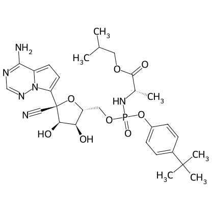 CC(C)COC(=O)[C@H](C)NP(=O)(OC[C@H]1O[C@@](C#N)(c2ccc3c(N)ncnn23)[C@H](O)[C@@H]1O)Oc1ccc(C(C)(C)C)cc1